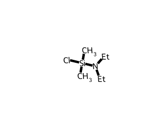 CCN(CC)[Si](C)(C)Cl